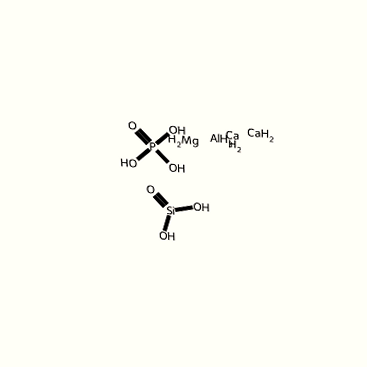 O=P(O)(O)O.O=[Si](O)O.[AlH3].[CaH2].[CaH2].[MgH2]